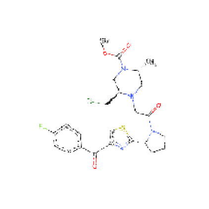 C[C@@H]1CN(CC(=O)N2CCCC2c2nc(C(=O)c3ccc(F)cc3)cs2)[C@@H](CCl)CN1C(=O)OC(C)(C)C